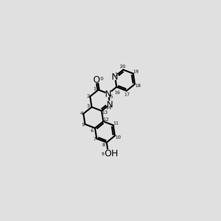 O=C1CC2CCc3cc(O)ccc3C2=NN1c1ccccn1